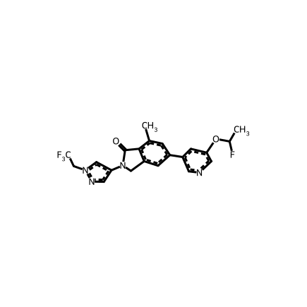 Cc1cc(-c2cncc(OC(C)F)c2)cc2c1C(=O)N(c1cnn(CC(F)(F)F)c1)C2